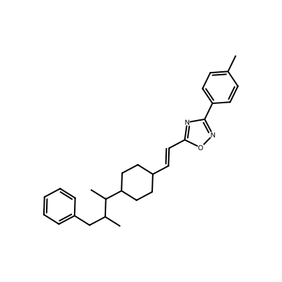 C[C](C(C)Cc1ccccc1)C1CCC(C=Cc2nc(-c3ccc(C)cc3)no2)CC1